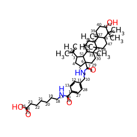 C=C(C)C1CCC2(C(=O)NCc3ccc(C(=O)NCCCCCCC(=O)O)cc3)CC[C@]3(C)C(CCC4C5(C)CCC(O)C(C)(C)C5CCC43C)C12